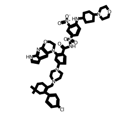 CC1(C)CCC(CN2CCN(c3ccc(C(=O)NS(=O)(=O)c4ccc(NC5CCC(N6CCOCC6)CC5)c([N+](=O)[O-])c4)c(N4CCOc5nc6[nH]ccc6cc54)c3)CC2)=C(c2ccc(Cl)cc2)C1